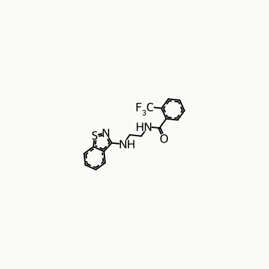 O=C(NCCNc1nsc2ccccc12)c1ccccc1C(F)(F)F